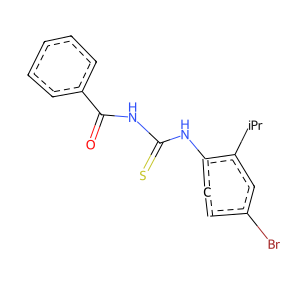 CC(C)c1cc(Br)ccc1NC(=S)NC(=O)c1ccccc1